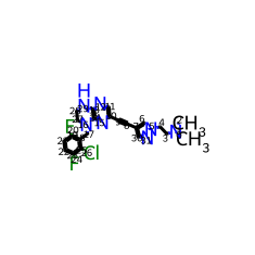 CN(C)CCn1cc(C#Cc2cnc3c(n2)N(Cc2c(F)ccc(F)c2Cl)CCN3)cn1